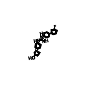 N=C(Nc1ccc(N2CC[C@H](O)C2)cc1)NC1CCC(c2cccc(F)c2)CC1